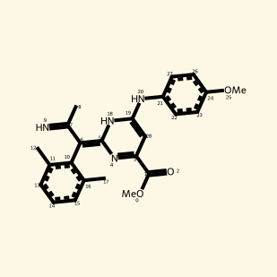 COC(=O)C1=N/C(=C(/C(C)=N)c2c(C)cccc2C)NC(Nc2ccc(OC)cc2)=C1